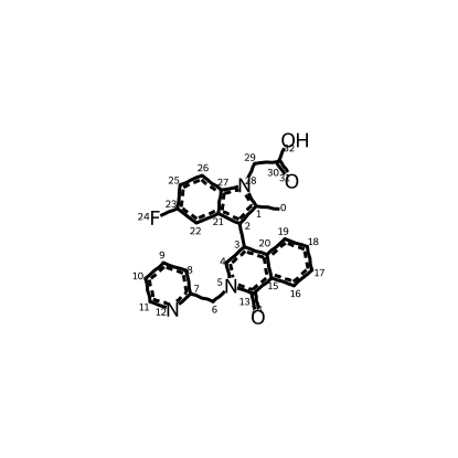 Cc1c(-c2cn(Cc3ccccn3)c(=O)c3ccccc23)c2cc(F)ccc2n1CC(=O)O